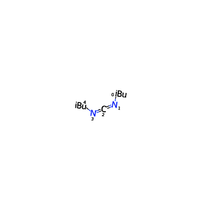 CCC(C)N=C=NC(C)CC